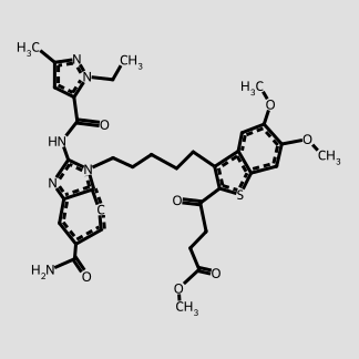 CCn1nc(C)cc1C(=O)Nc1nc2cc(C(N)=O)ccc2n1CCCCCc1c(C(=O)CCC(=O)OC)sc2cc(OC)c(OC)cc12